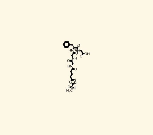 CS(=O)(=O)c1nnc(CCCC(=O)NCC(=O)NCC(=O)N[C@@H](Cc2ccccc2)C(=O)NCC(=O)O)o1